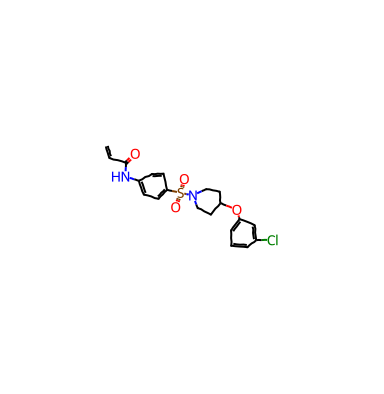 C=CC(=O)Nc1ccc(S(=O)(=O)N2CCC(Oc3cccc(Cl)c3)CC2)cc1